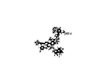 Cc1cc(CC(=O)OC(C)(C)C)c(C(C)(C)CC(=O)N(c2nn(CC(F)(F)F)c3c(-c4ccc(C#CC(C)(C)S(C)(=O)=O)nc4[C@H](Cc4cc(F)cc(F)c4)NC(=O)Cn4nc(C(F)(F)F)c5c4C(F)(F)[C@@H]4C[C@H]54)ccc(Cl)c23)S(C)(=O)=O)c(OP(=O)(OC(C)(C)C)OC(C)(C)C)c1